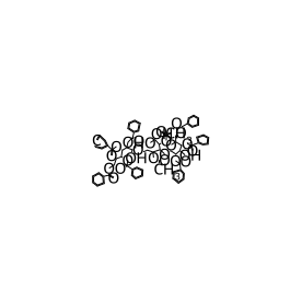 CC(=O)OC(CCOC(O)C(OC(=O)c1ccccc1)C(OC(=O)c1ccccc1)C(CCOC(=O)c1ccccc1)OC(=O)c1ccccc1)C(OC1OC(COC(=O)c2ccccc2)C(OC(=O)c2ccccc2)C(O)C1OC(=O)c1ccccc1)C(OC(C)=O)C(O)O